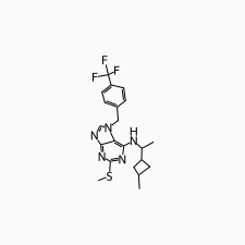 CSc1nc(NC(C)C2CC(C)C2)c2c(ncn2Cc2ccc(C(F)(F)F)cc2)n1